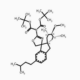 CO[C@H]1[C@H](C)C[C@@]2(Cc3ccc(CCC(C)C)cc3C23COC(N(C(=O)OC(C)(C)C)C(=O)OC(C)(C)C)=N3)C[C@@H]1C